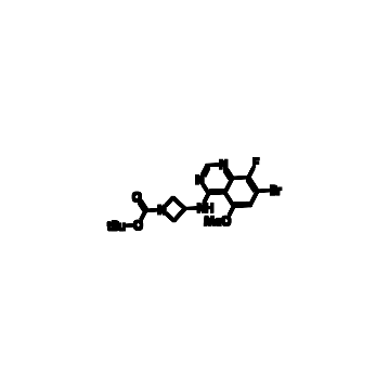 COc1cc(Br)c(F)c2ncnc(NC3CN(C(=O)OC(C)(C)C)C3)c12